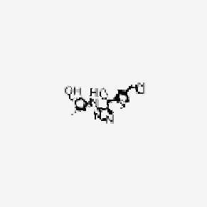 C[C@H]1C[C@H](Nc2ncncc2C(=O)c2cc(CCl)cs2)C[C@@H]1CO